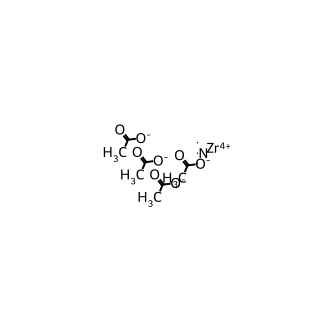 CC(=O)[O-].CC(=O)[O-].CC(=O)[O-].CC(=O)[O-].[N].[Zr+4]